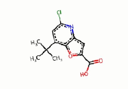 CC(C)(C)c1cc(Cl)nc2cc(C(=O)O)oc12